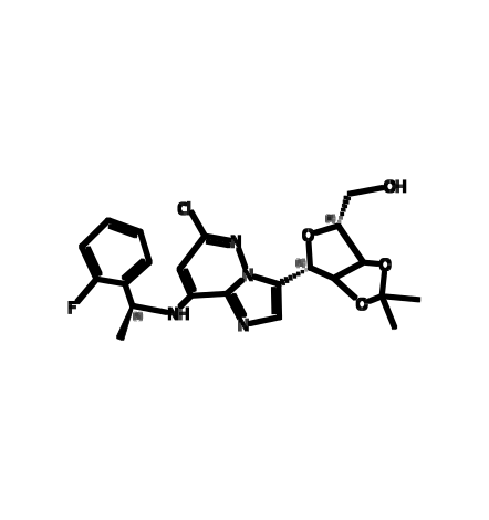 C[C@H](Nc1cc(Cl)nn2c([C@@H]3O[C@H](CO)C4OC(C)(C)OC43)cnc12)c1ccccc1F